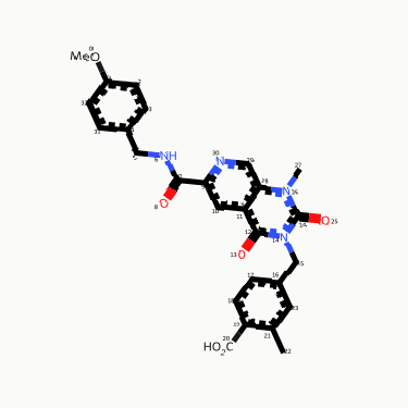 COc1ccc(CNC(=O)c2cc3c(=O)n(Cc4ccc(C(=O)O)c(C)c4)c(=O)n(C)c3cn2)cc1